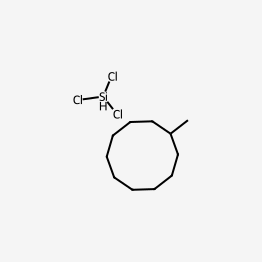 CC1CCCCCCCCC1.Cl[SiH](Cl)Cl